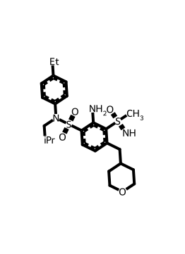 CCc1ccc(N(CC(C)C)S(=O)(=O)c2ccc(CC3CCOCC3)c(S(C)(=N)=O)c2N)cc1